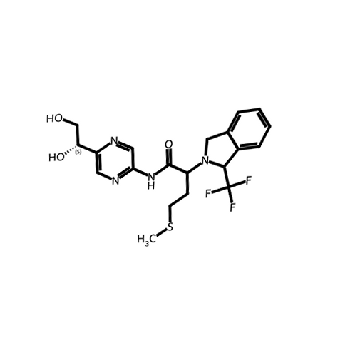 CSCCC(C(=O)Nc1cnc([C@H](O)CO)cn1)N1Cc2ccccc2C1C(F)(F)F